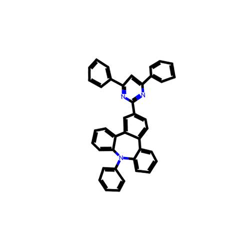 c1ccc(-c2cc(-c3ccccc3)nc(-c3ccc4c(c3)-c3ccccc3N(c3ccccc3)c3ccccc3-4)n2)cc1